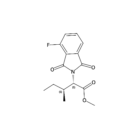 CC[C@H](C)[C@@H](C(=O)OC)N1C(=O)c2cccc(F)c2C1=O